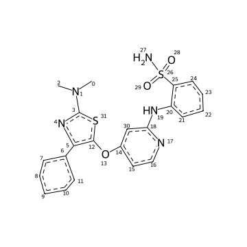 CN(C)c1nc(-c2ccccc2)c(Oc2ccnc(Nc3ccccc3S(N)(=O)=O)c2)s1